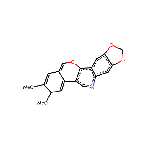 COC1=CC2=COc3c(cnc4cc5c(cc34)OCO5)C2=CC1OC